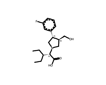 CCC(CC)[C@@H](C(=O)O)N1C[C@H](CO)[C@@H](c2cccc(F)c2)C1